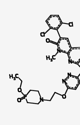 CCOP1(=O)CCN(CCOc2ccc(Nc3ncc4cc(-c5c(Cl)cccc5Cl)c(=O)n(C)c4n3)nn2)CC1